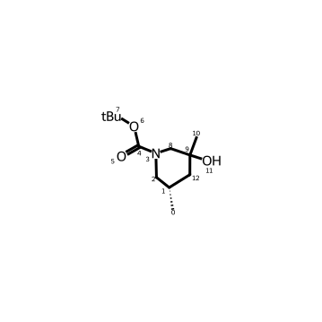 C[C@@H]1CN(C(=O)OC(C)(C)C)CC(C)(O)C1